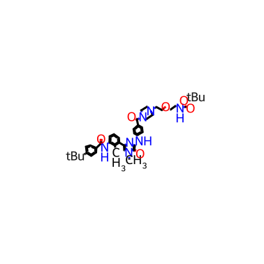 Cc1c(NC(=O)c2ccc(C(C)(C)C)cc2)cccc1-c1cn(C)c(=O)c(Nc2ccc(C(=O)N3CCN(CCOCCNC(=O)OC(C)(C)C)CC3)cc2)n1